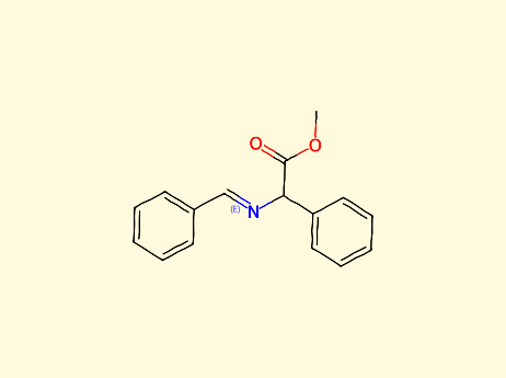 COC(=O)C(/N=C/c1ccccc1)c1ccccc1